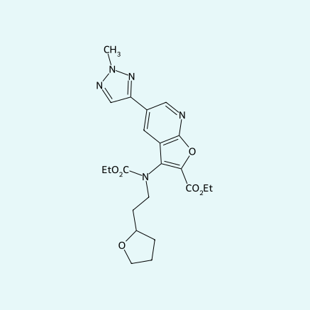 CCOC(=O)c1oc2ncc(-c3cnn(C)n3)cc2c1N(CCC1CCCO1)C(=O)OCC